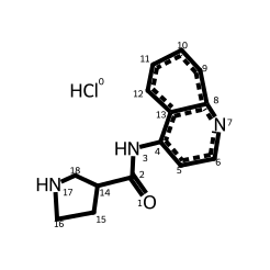 Cl.O=C(Nc1ccnc2ccccc12)C1CCNC1